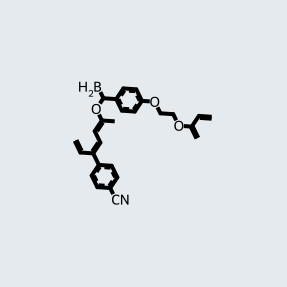 BC(O/C(C)=C/C=C(\C=C)c1ccc(C#N)cc1)c1ccc(OCCOC(=C)C=C)cc1